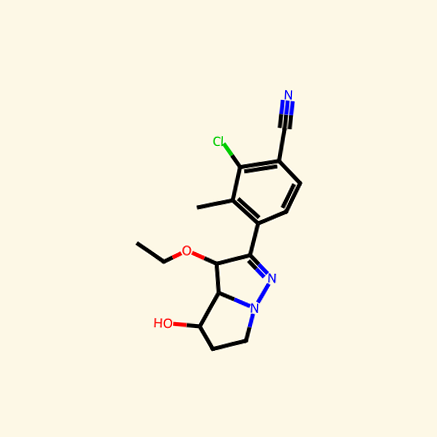 CCOC1C(c2ccc(C#N)c(Cl)c2C)=NN2CCC(O)C12